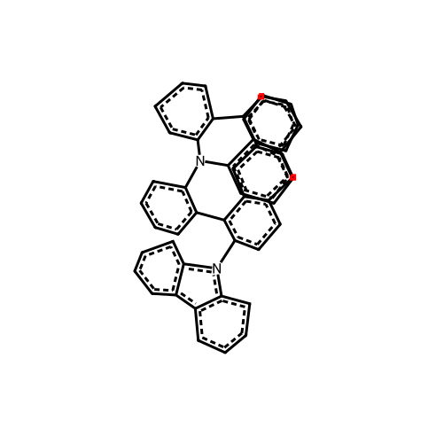 c1ccc(-c2ccccc2N(c2ccccc2-c2c(-n3c4ccccc4c4ccccc43)ccc3ccccc23)c2cccc3ccccc23)cc1